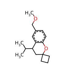 COCc1ccc2c(c1)C(C(C)C)CC1(CCC1)O2